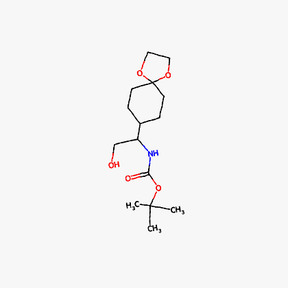 CC(C)(C)OC(=O)NC(CO)C1CCC2(CC1)OCCO2